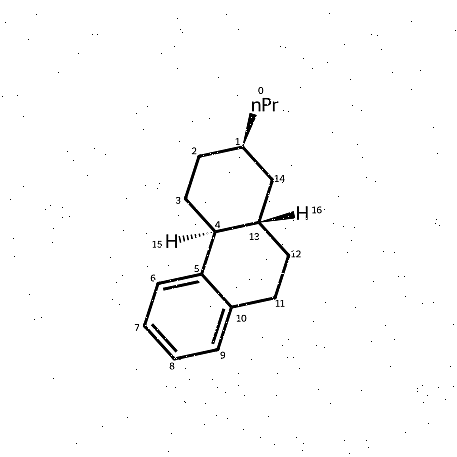 CCC[C@@H]1CC[C@@H]2c3cc[c]cc3CC[C@H]2C1